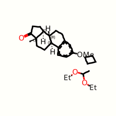 C1CCC1.CCOC(C)OCC.COc1ccc2c(c1)CC[C@@H]1[C@@H]2CC[C@]2(C)C(=O)CC[C@@H]12